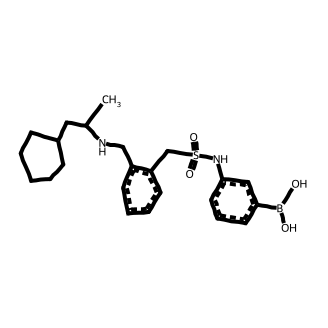 CC(CC1CCCCC1)NCc1ccccc1CS(=O)(=O)Nc1cccc(B(O)O)c1